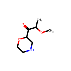 COC(C)C(=O)C1CNCCO1